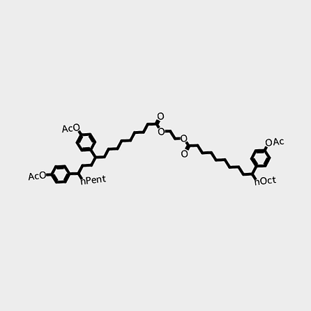 CCCCCCCCC(CCCCCCCCC(=O)OCCOC(=O)CCCCCCCCC(CCC(CCCCC)c1ccc(OC(C)=O)cc1)c1ccc(OC(C)=O)cc1)c1ccc(OC(C)=O)cc1